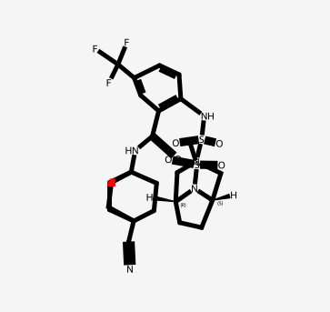 CS(=O)(=O)N1[C@@H]2CC[C@H]1CN(S(=O)(=O)Nc1ccc(C(F)(F)F)cc1C(=O)NC13CCC(C#N)(CC1)CC3)C2